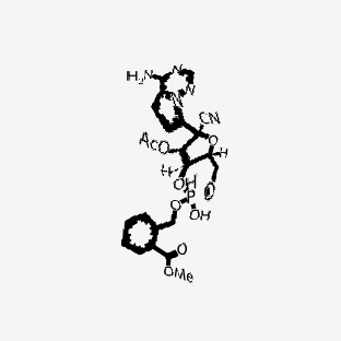 COC(=O)c1ccccc1CO[PH]1(O)OC[C@H]2O[C@@](C#N)(c3ccc4c(N)ncnn34)[C@H](OC(C)=O)[C@@H]2O1